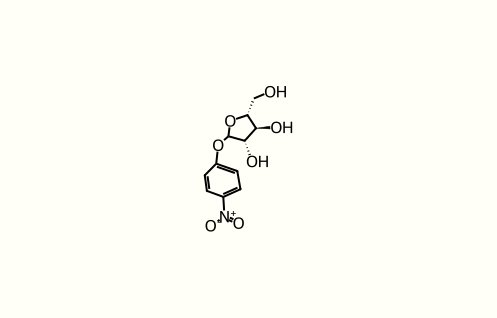 O=[N+]([O-])c1ccc(OC2O[C@H](CO)[C@@H](O)[C@@H]2O)cc1